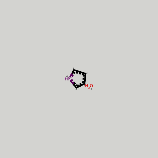 O.c1cc[pH]c1